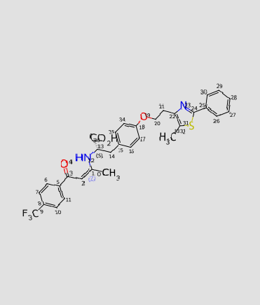 C/C(=C/C(=O)c1ccc(C(F)(F)F)cc1)N[C@@H](Cc1ccc(OCCc2nc(-c3ccccc3)sc2C)cc1)C(=O)O